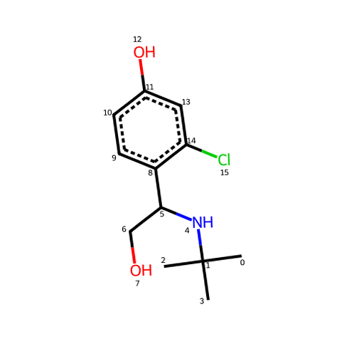 CC(C)(C)NC(CO)c1ccc(O)cc1Cl